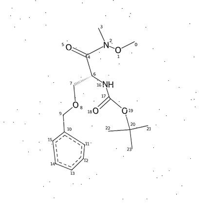 CON(C)C(=O)[C@@H](COCc1ccccc1)NC(=O)OC(C)(C)C